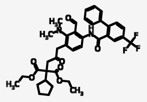 CCOC(=O)C(CC(=O)Cc1ccc(NC(=O)c2cc(C(F)(F)F)ccc2-c2ccccc2)c(C=O)c1N(C)C)(C(=O)OCC)C1CCCC1